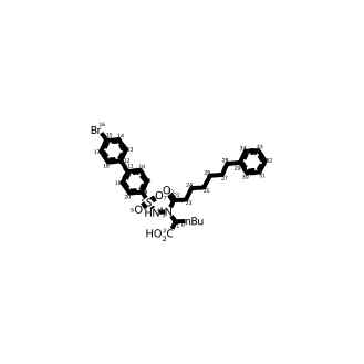 CCCCC(C(=O)O)N(NS(=O)(=O)c1ccc(-c2ccc(Br)cc2)cc1)C(=O)CCCCCCc1ccccc1